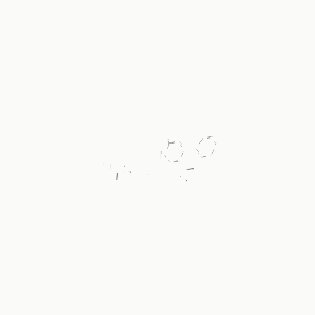 CC(C)N(C)C(=O)c1cn(CC2(O)CCN(C(=O)O)CC2(C)C)c(=O)cc1-c1ccccc1